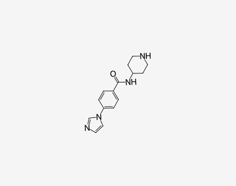 O=C(NC1CCNCC1)c1ccc(-n2ccnc2)cc1